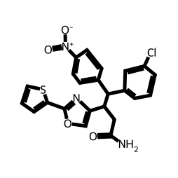 NC(=O)CC(c1coc(-c2cccs2)n1)C(c1ccc([N+](=O)[O-])cc1)c1cccc(Cl)c1